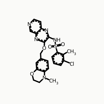 Cc1c(Cl)cccc1S(=O)(=O)Nc1nc2ccncc2nc1OCc1ccc2c(c1)OCCN2C